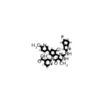 CC1=C(C(=O)Nc2cc(C(=O)O)ccn2)C(c2ccc(-c3ccc(C)nc3)cc2Cl)N=C(NC2=Nc3ccc(F)cc3C2)N1